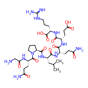 CC(C)C[C@H](NC(=O)[C@@H]1CCCN1C(=O)[C@H](CCC(N)=O)NC(=O)CN)C(=O)N[C@@H](CCC(N)=O)C(=O)N[C@@H](CCC(=O)O)C(=O)N[C@@H](CCCNC(=N)N)C(=O)O